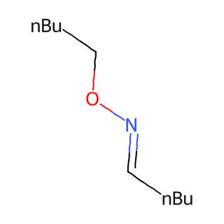 CCCCC=NOCCCCC